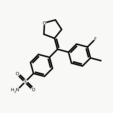 Cc1ccc(/C(=C2\CCOC2)c2ccc(S(N)(=O)=O)cc2)cc1F